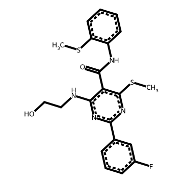 CSc1ccccc1NC(=O)c1c(NCCO)nc(-c2cccc(F)c2)nc1SC